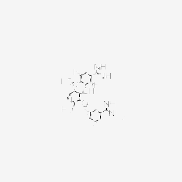 Cc1ncc(N(C)c2cc(F)c(C(=N)N)cc2F)c(C)c1OCc1cccc(C(=N)N)c1